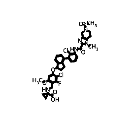 COc1cc(OC2CCc3c(-c4cccc(NC(=O)c5nc6c(n5C)CCN([S+](C)[O-])C6)c4Cl)cccc32)c(Cl)c(F)c1CNC1(C(=O)O)CC1